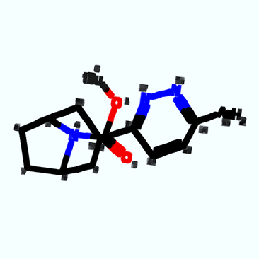 CC(C)(C)OC(=O)N1C2CCC1CC(c1ccc([AsH2])nn1)C2